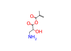 C=C(C)C(=O)OC(=O)C(O)CN